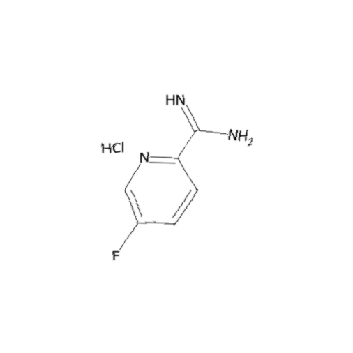 Cl.N=C(N)c1ccc(F)cn1